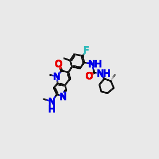 CNc1cc2c(cn1)cc(-c1cc(NC(=O)N[C@@H]3CCCC[C@H]3C)c(F)cc1C)c(=O)n2C